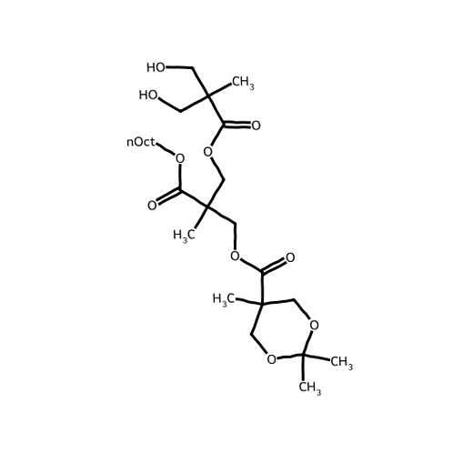 CCCCCCCCOC(=O)C(C)(COC(=O)C(C)(CO)CO)COC(=O)C1(C)COC(C)(C)OC1